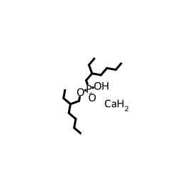 CCCCC(CC)COP(=O)(O)CC(CC)CCCC.[CaH2]